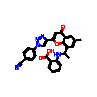 Cc1cc(C(C)Nc2ccccc2C(=O)O)c2oc(-c3cn(-c4ccc(C#N)cc4)nn3)cc(=O)c2c1